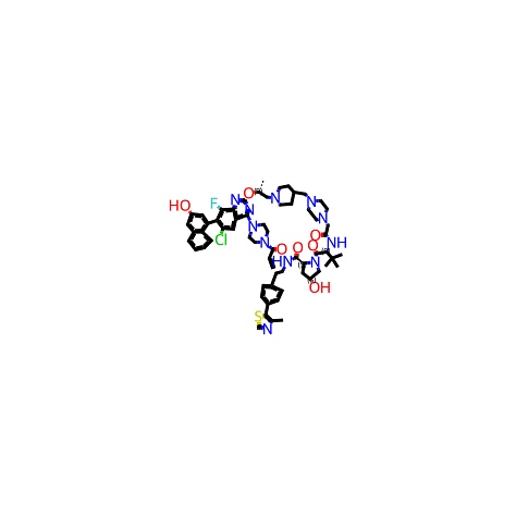 C=CC(=O)N1CCN(c2nc(O[C@H](C)CN3CCC(CN4CCN(CC(=O)N[C@H](C(=O)N5C[C@@H](O)C[C@H]5C(=O)NCCc5ccc(-c6scnc6C)cc5)C(C)(C)C)CC4)CC3)nc3c(F)c(-c4cc(O)cc5ccccc45)c(Cl)cc23)CC1